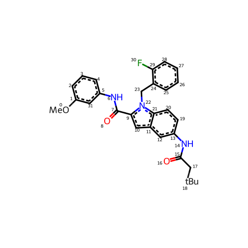 COc1cccc(NC(=O)c2cc3cc(NC(=O)CC(C)(C)C)ccc3n2Cc2ccccc2F)c1